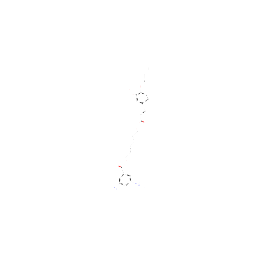 CCCCOc1ccc(C=CC(=O)OCCCCCCOC(=O)c2cc(N)cc(N)c2)cc1OC